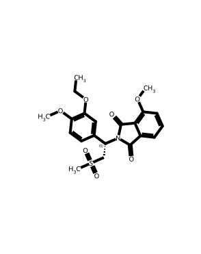 CCOc1cc([C@@H](CS(C)(=O)=O)N2C(=O)c3cccc(OC)c3C2=O)ccc1OC